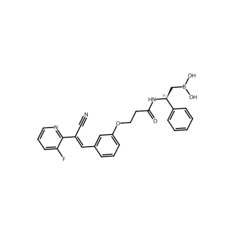 N#CC(=Cc1cccc(OCCC(=O)N[C@@H](CB(O)O)c2ccccc2)c1)c1ncccc1F